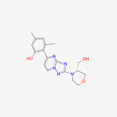 Cc1cc(C)c(-c2ccn3nc(N4CCOC[C@H]4CO)nc3n2)c(O)c1